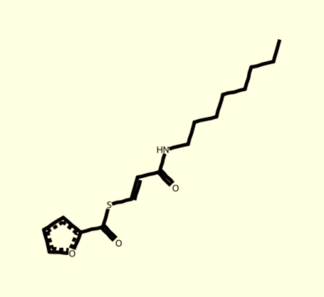 CCCCCCCCNC(=O)C=CSC(=O)c1ccco1